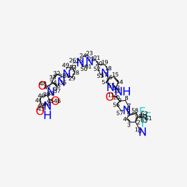 N#Cc1ccc(N2CCC(C(=O)Nc3ccc(N4CCC(CN5CCN(C[C@@H]6CCN(c7ccc8c(n7)CN(C7CCC(=O)NC7=O)C8=O)C6)CC5)CC4)cn3)CC2)cc1C(F)(F)F